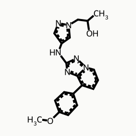 COc1ccc(-c2cccn3nc(Nc4cnn(CC(C)O)c4)nc23)cc1